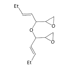 CC/C=C/C(OC(/C=C/CC)C1CO1)C1CO1